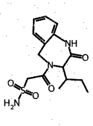 CCC(C)C1C(=O)Nc2ccccc2CN1C(=O)CS(N)(=O)=O